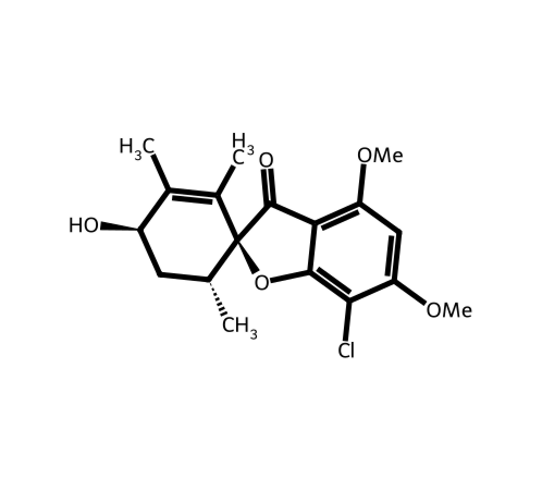 COc1cc(OC)c2c(c1Cl)O[C@]1(C2=O)C(C)=C(C)[C@H](O)C[C@H]1C